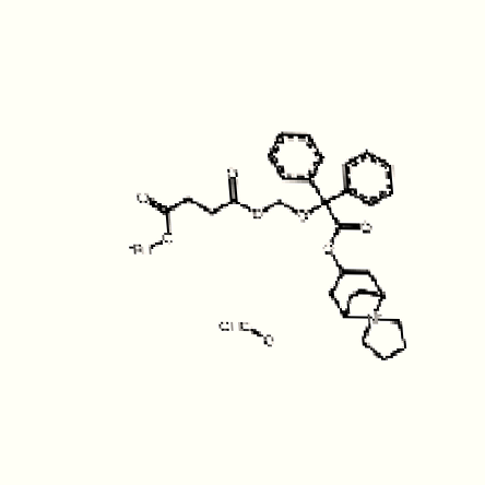 CC(C)(C)OC(=O)CCC(=O)OCOC(C(=O)OC1CC2CCC(C1)[N+]21CCCC1)(c1ccccc1)c1ccccc1.O=C[O-]